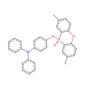 Cc1ccc2c(c1)P(=O)(Oc1ccc(N(c3ccccc3)c3ccccc3)cc1)c1cc(C)ccc1O2